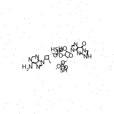 COP(=O)(S)OC[C@H]1O[C@@H](n2cnc3c(=O)n4cc[nH]c4nc32)[C@H](O)[C@@H]1OP(=O)(S)OC[C@H]1C[C@@H](n2cnc3c(N)ncnc32)[C@@H]1C